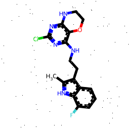 Cc1[nH]c2c(F)cccc2c1CCNc1nc(Cl)nc2c1OCCN2